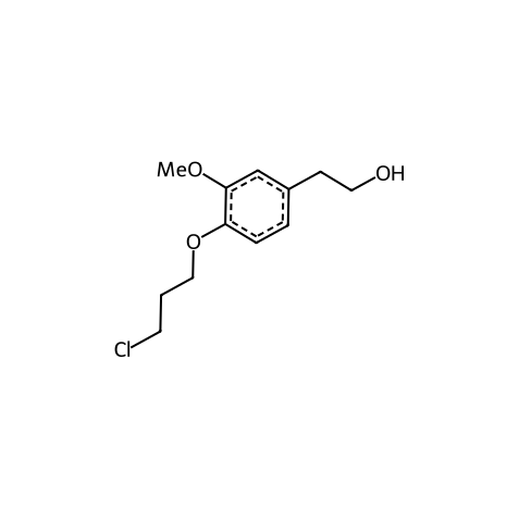 COc1cc(CCO)ccc1OCCCCl